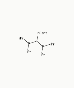 CCCCCC(P(C(C)C)C(C)C)P(C(C)C)C(C)C